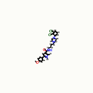 COc1ccc(-c2cc(C(=O)NCCCCN3CCN(c4cccc(Cl)c4Cl)CC3)c(C)n2C)cc1